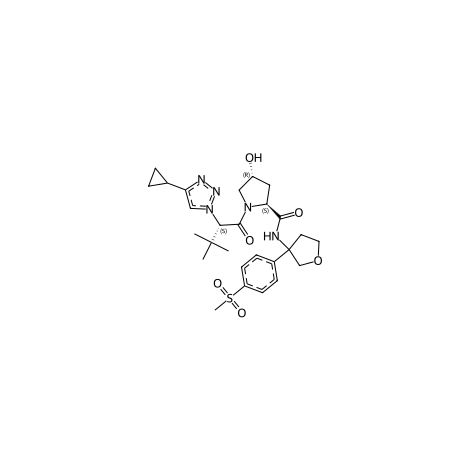 CC(C)(C)[C@@H](C(=O)N1C[C@H](O)C[C@H]1C(=O)NC1(c2ccc(S(C)(=O)=O)cc2)CCOC1)n1cc(C2CC2)nn1